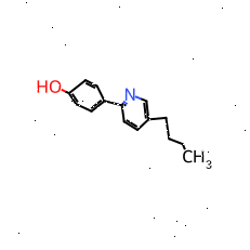 CCCCc1ccc(-c2ccc(O)cc2)nc1